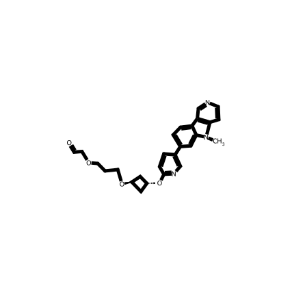 Cn1c2ccncc2c2ccc(-c3ccc(O[C@H]4C[C@H](OCCCOCC=O)C4)nc3)cc21